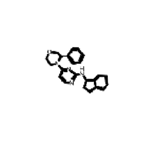 c1ccc([C@@H]2COCCN2c2ccnc(NC3CCc4ccccc43)n2)cc1